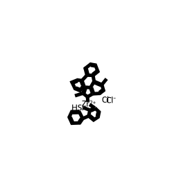 CC1=Cc2c(ccc(C)c2-c2ccccc2-c2ccccc2)[CH]1[Zr+2]1[c]2cccc3c2[SiH]1c1ccccc1-3.[Cl-].[Cl-]